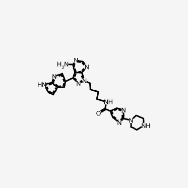 Nc1ncnc2c1c(-c1cnc3[nH]ccc3c1)nn2CCCCNC(=O)c1cnc(N2CCNCC2)nc1